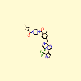 Cc1cc(Cc2nccn3c(C4=CCN=C4C(F)(F)F)cnc23)ccc1C(=O)N1CCN(C(=O)[C@H]2C[C@@H](C)C2)CC1